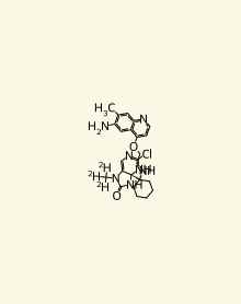 [2H]C([2H])([2H])N1C(=O)N[C@@]2(C3(NCCOc4ccnc5cc(C)c(N)cc45)CCCCC3)NC(Cl)=NC=C12